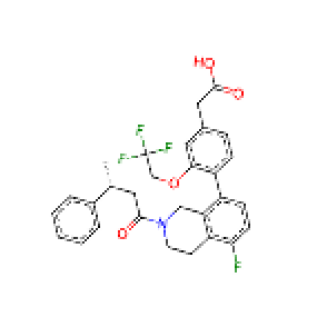 C[C@H](CC(=O)N1CCc2c(F)ccc(-c3ccc(CC(=O)O)cc3OCC(F)(F)F)c2C1)c1ccccc1